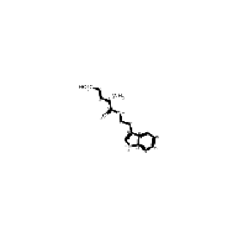 N[C@@H](CCC(=O)O)C(=O)NCCc1c[nH]c2ccccc12